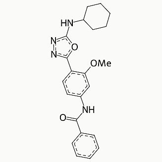 COc1cc(NC(=O)c2ccccc2)ccc1-c1nnc(NC2CCCCC2)o1